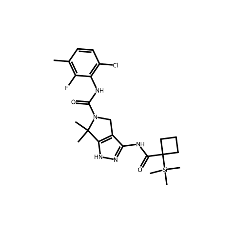 Cc1ccc(Cl)c(NC(=O)N2Cc3c(NC(=O)C4([Si](C)(C)C)CCC4)n[nH]c3C2(C)C)c1F